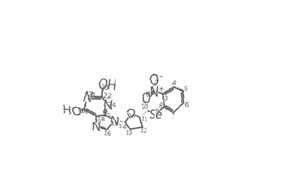 O=[N+]([O-])c1ccccc1[Se]C[C@@H]1CC[C@H](n2cnc3c(O)nc(O)nc32)O1